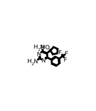 Nc1nc(N)c(C2(O)CCCC2)c(-c2cccc(C(F)(F)F)c2)n1